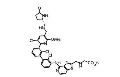 COc1nc(-c2cccc(-c3cccc(Nc4nccc5sc(CNCC(=O)O)nc45)c3Cl)c2Cl)c(Cl)cc1CNC[C@@H]1CCC(=O)N1